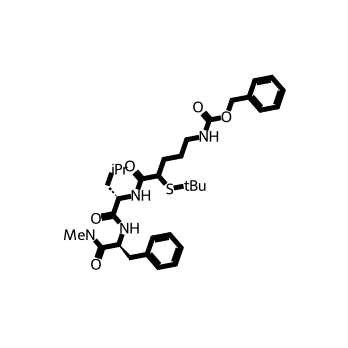 CNC(=O)[C@H](Cc1ccccc1)NC(=O)[C@H](CC(C)C)NC(=O)C(CCCNC(=O)OCc1ccccc1)SC(C)(C)C